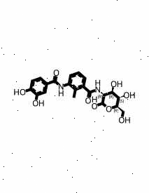 Cc1c(NC(=O)c2ccc(O)c(O)c2)cccc1C(=O)N[C@H]1C(O)O[C@H](CO)[C@@H](O)[C@@H]1O